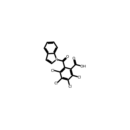 O=C(O)c1c(Cl)c(Cl)c(Cl)c(Cl)c1C(=O)n1ccc2ccccc21